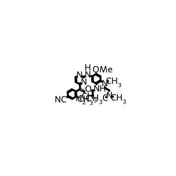 C=CC(=O)Nc1cc(Nc2nccc(/C(=C/C)c3ccc(C#N)cc3C)n2)c(OC)cc1N(C)CCN(C)C